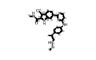 C=NN/C=C(\C)c1ccc(Nc2ccnc(-c3ccc4c(Cl)c(C(=O)NC)[nH]c4c3)n2)cc1